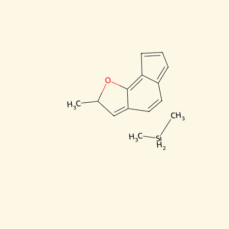 CC1C=c2ccc3c(c2O1)C=CC=3.C[SiH2]C